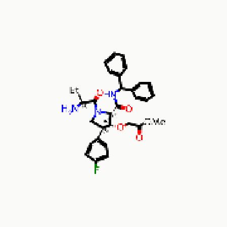 CC[C@H](N)C(=O)N1C[C@H](c2ccc(F)cc2)[C@@H](OCC(=O)OC)[C@H]1C(=O)NC(c1ccccc1)c1ccccc1